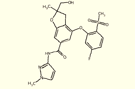 Cn1ccc(NC(=O)c2cc(Oc3cc(F)ccc3S(C)(=O)=O)c3c(c2)OC(C)(CO)C3)n1